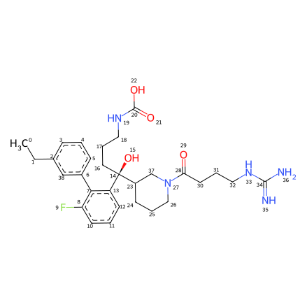 CCc1cccc(-c2c(F)cccc2[C@](O)(CCCNC(=O)O)C2CCCN(C(=O)CCCNC(=N)N)C2)c1